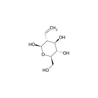 C=C[C@@H]1[C@@H](O)[C@H](O)[C@@H](CO)O[C@H]1O